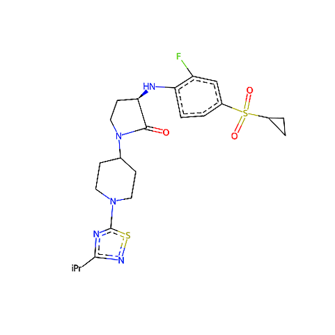 CC(C)c1nsc(N2CCC(N3CC[C@@H](Nc4ccc(S(=O)(=O)C5CC5)cc4F)C3=O)CC2)n1